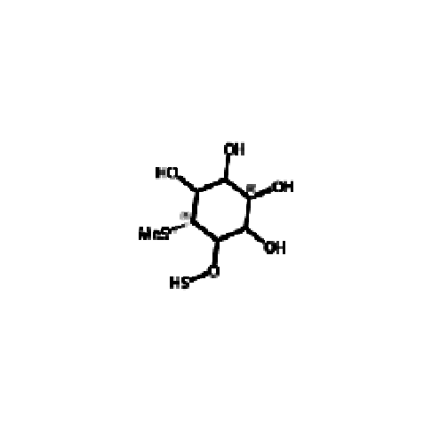 CS[C@@H]1C(O)C(O)[C@@H](O)C(O)C1OS